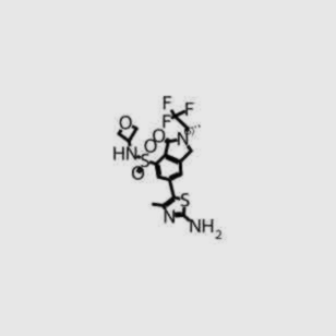 Cc1nc(N)sc1-c1cc2c(c(S(=O)(=O)NC3COC3)c1)C(=O)N([C@@H](C)C(F)(F)F)C2